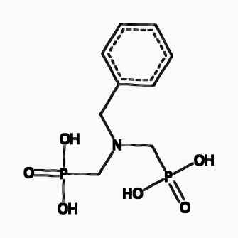 O=P(O)(O)CN(Cc1ccccc1)CP(=O)(O)O